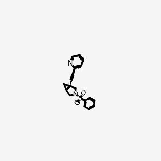 O=S(=O)(c1ccccc1)N1CC2C[C@]2(C#Cc2ccccn2)C1